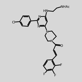 CC(=O)NCCNc1cc(N2CCN(C(=O)C=Cc3ccc(F)c(F)c3F)CC2)nc(-c2ccc(Cl)cc2)n1